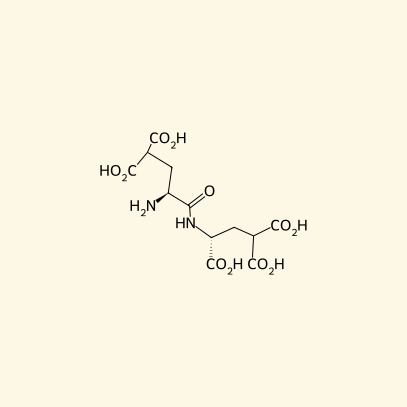 N[C@@H](CC(C(=O)O)C(=O)O)C(=O)N[C@H](CC(C(=O)O)C(=O)O)C(=O)O